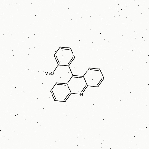 COc1ccccc1-c1c2ccccc2nc2ccccc12